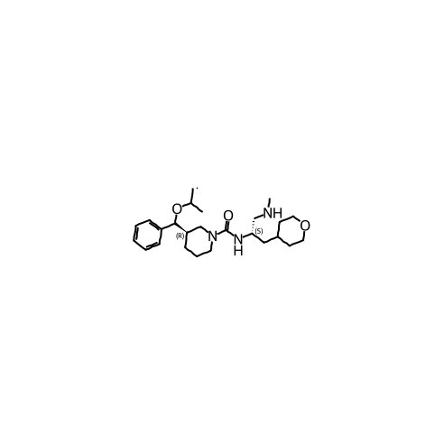 [CH2]C(C)OC(c1ccccc1)[C@@H]1CCCN(C(=O)N[C@H](CNC)CC2CCOCC2)C1